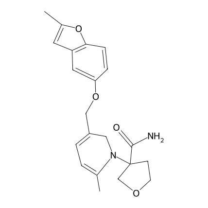 CC1=CC=C(COc2ccc3oc(C)cc3c2)CN1C1(C(N)=O)CCOC1